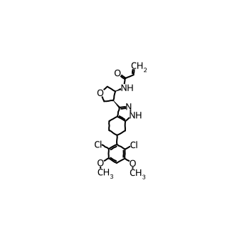 C=CC(=O)N[C@@H]1COC[C@@H]1c1n[nH]c2c1CCC(c1c(Cl)c(OC)cc(OC)c1Cl)C2